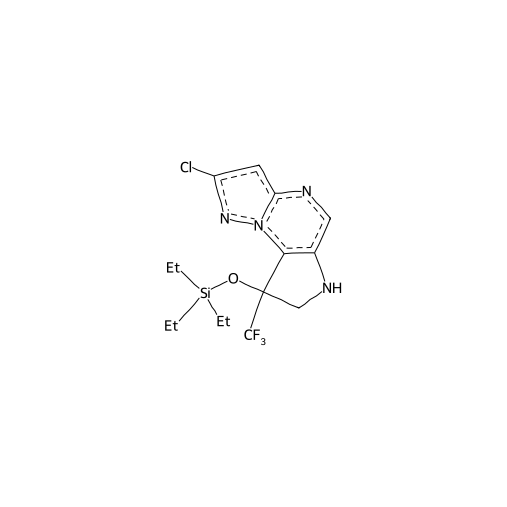 CC[Si](CC)(CC)OC1(C(F)(F)F)CNc2cnc3cc(Cl)nn3c21